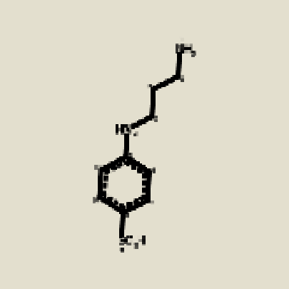 NCCCNc1ccc(S(=O)(=O)O)cc1